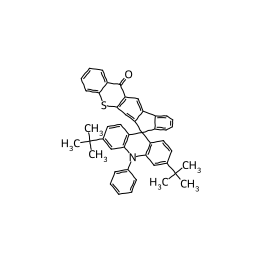 CC(C)(C)c1ccc2c(c1)N(c1ccccc1)c1cc(C(C)(C)C)ccc1C21c2ccccc2-c2cc3c(=O)c4ccccc4sc3cc21